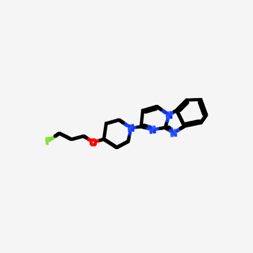 FCCCOC1CCN(c2ccn3c(n2)nc2ccccc23)CC1